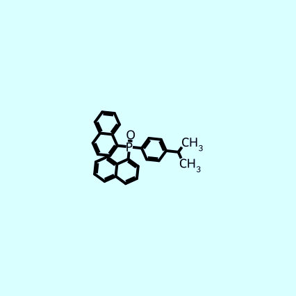 CC(C)c1ccc(P(=O)(c2cccc3ccccc23)c2cccc3ccccc23)cc1